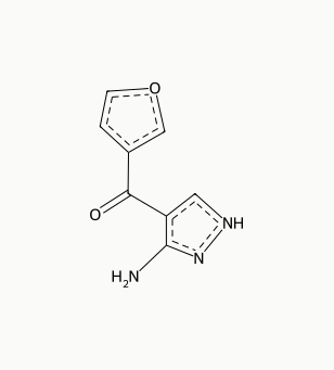 Nc1n[nH]cc1C(=O)c1ccoc1